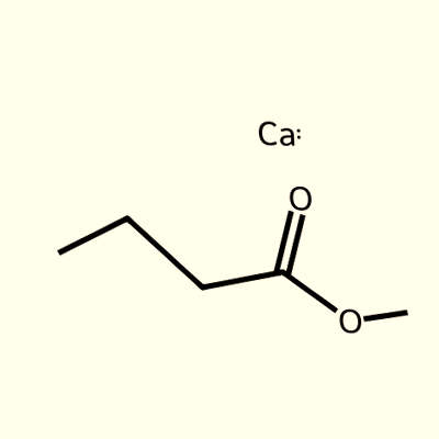 CCCC(=O)OC.[Ca]